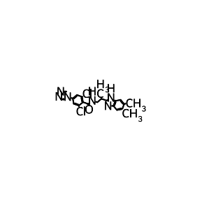 Cc1cc2nc([C@@H](C)CNC(=O)c3c(Cl)cc(-n4cnnc4)cc3Cl)[nH]c2cc1C